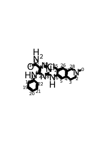 CN1CCc2cc(Nc3nnc(C(N)=O)c(Nc4ccccc4)n3)c(Cl)cc2C1